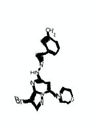 Cc1cccc(C=NNc2cc(N3CCOCC3)n3ncc(Br)c3n2)c1